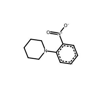 O=[N+]([O-])c1cc[c]cc1N1CCCCC1